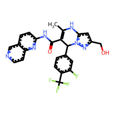 CC1=C(C(=O)Nc2ccc3cnccc3n2)C(c2ccc(C(F)(F)F)c(F)c2)n2nc(CO)cc2N1